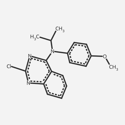 COc1ccc(N(c2nc(Cl)nc3ccccc23)C(C)C)cc1